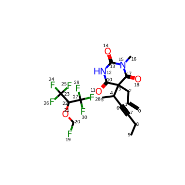 C=CCC1(C(C)C#CCC)C(=O)NC(=O)N(C)C1=O.FCOC(C(F)(F)F)C(F)(F)F